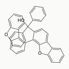 OC(c1ccccc1)(c1ccccc1)c1ccc2c(oc3ccccc32)c1-c1cccc2oc3ccccc3c12